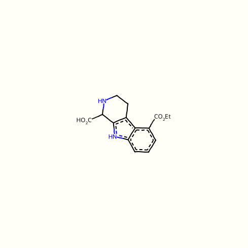 CCOC(=O)c1cccc2[nH]c3c(c12)CCNC3C(=O)O